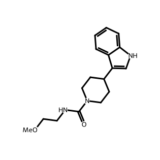 COCCNC(=O)N1CCC(c2c[nH]c3ccccc23)CC1